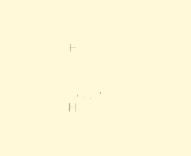 [H-].[H-].[Os+2].c1ccccc1